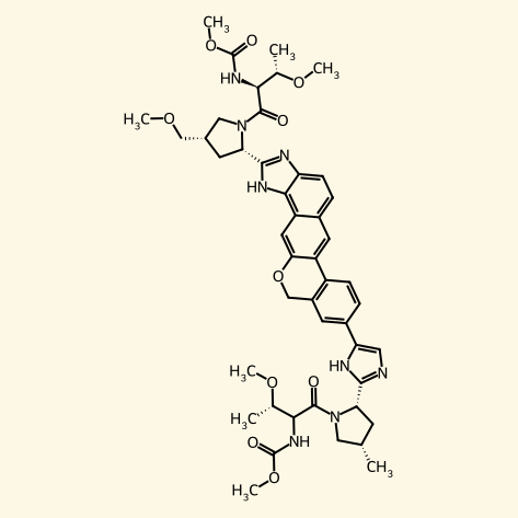 COC[C@H]1C[C@@H](c2nc3ccc4cc5c(cc4c3[nH]2)OCc2cc(-c3cnc([C@@H]4C[C@H](C)CN4C(=O)C(NC(=O)OC)[C@H](C)OC)[nH]3)ccc2-5)N(C(=O)[C@@H](NC(=O)OC)[C@H](C)OC)C1